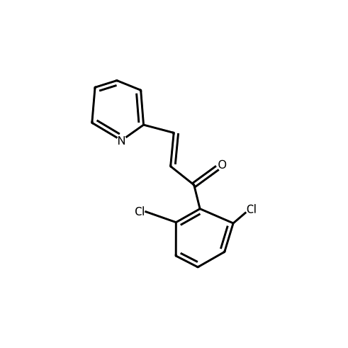 O=C(C=Cc1ccccn1)c1c(Cl)cccc1Cl